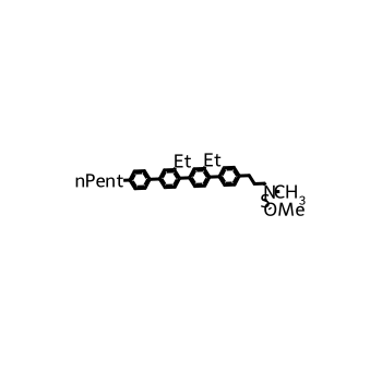 CCCCCc1ccc(-c2ccc(-c3ccc(-c4ccc(CCCN(C)SOC)cc4)c(CC)c3)c(CC)c2)cc1